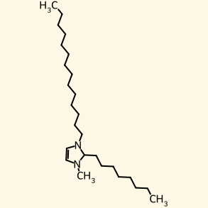 CCCCCCCCCCCCCCN1C=CN(C)C1CCCCCCCC